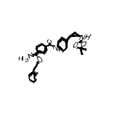 CC(C)(C)OC(=O)NC1CC1c1ccc(NC(=O)c2ccc(C(N)OCc3ccccc3)cc2)cc1